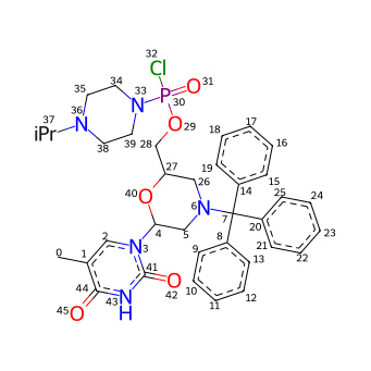 Cc1cn(C2CN(C(c3ccccc3)(c3ccccc3)c3ccccc3)CC(COP(=O)(Cl)N3CCN(C(C)C)CC3)O2)c(=O)[nH]c1=O